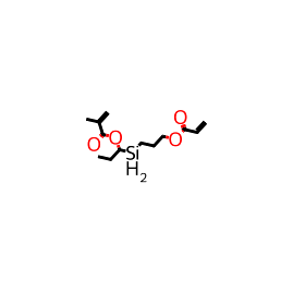 C=CC(=O)OCCC[SiH2]C(CC)OC(=O)C(=C)C